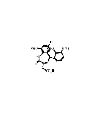 COc1cc(Cl)cc2c1NC(=O)[C@@H](CC(=O)O)S[C@@H]2c1cccc(OC)c1OC